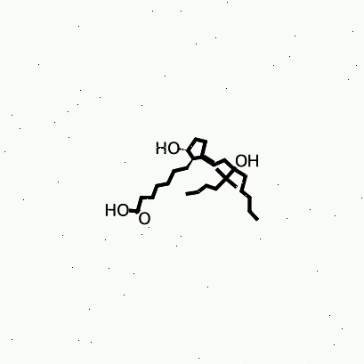 CCCCCC(O)(CC=C1CC[C@@H](O)[C@@H]1CCCCCCC(=O)O)C(C)(C)CCCC